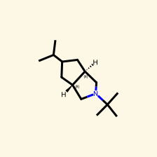 CC(C)C1C[C@H]2CN(C(C)(C)C)C[C@@H]2C1